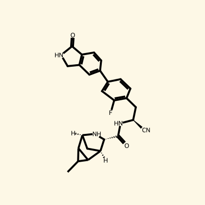 CC1C2C1[C@H]1C[C@@H]2N[C@@H]1C(=O)N[C@H](C#N)Cc1ccc(-c2ccc3c(c2)CNC3=O)cc1F